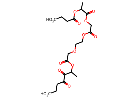 CC(OC(=O)CCC(=O)O)C(=O)OCC(=O)OCCOCC(=O)OC(C)C(=O)C(=O)CCC(=O)O